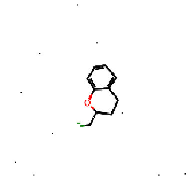 FCC1CCc2ccccc2O1